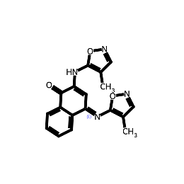 Cc1cnoc1/N=C1\C=C(Nc2oncc2C)C(=O)c2ccccc21